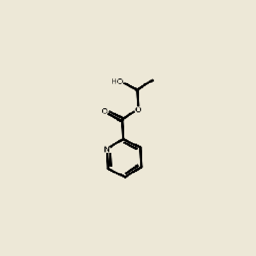 CC(O)OC(=O)c1ccccn1